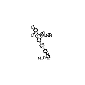 Cc1nccn1-c1ccc(N2CCN(c3ccc(OC(c4ccc(Cl)cc4Cl)[C@H]4CO[C@@H](Cn5ccnc5)O4)cc3)CC2)cc1